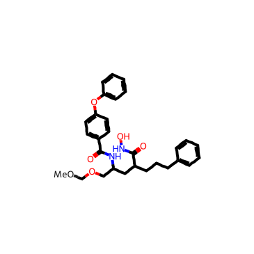 COCOCC(CC(CCCc1ccccc1)C(=O)NO)NC(=O)c1ccc(Oc2ccccc2)cc1